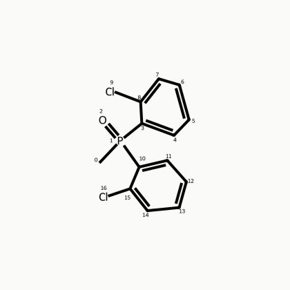 CP(=O)(c1ccccc1Cl)c1ccccc1Cl